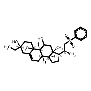 CC[C@]1(O)CC[C@@]2(C)C(=CC[C@H]3[C@@H]4CC[C@H]([C@H](C)CS(=O)(=O)c5ccccc5)[C@@]4(C)CC(O)[C@@H]32)C1